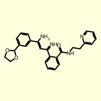 N=C(/C=C(\N)c1cccc(C2OCCO2)c1)c1ccccc1C(=O)NCCc1ccccn1